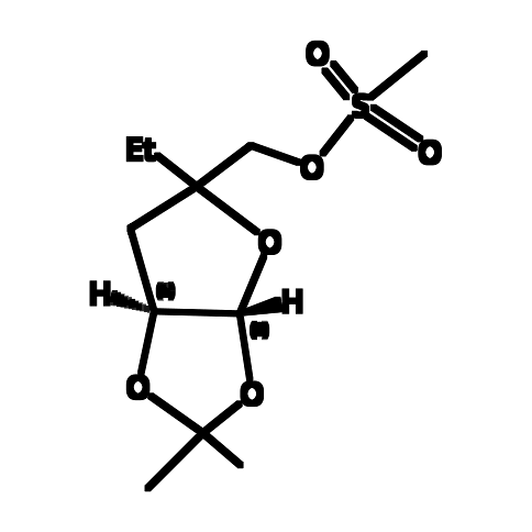 CCC1(COS(C)(=O)=O)C[C@@H]2OC(C)(C)O[C@H]2O1